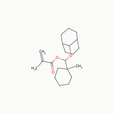 C=C(C)C(=O)OC(OC1C2CCCC1CCC2)C1(C)CCCCC1